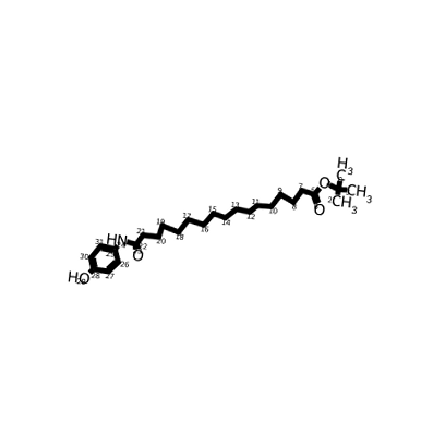 CC(C)(C)OC(=O)CCCCCCCCCCCCCCCC(=O)Nc1ccc(O)cc1